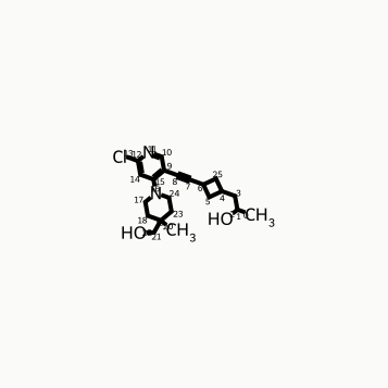 CC(O)CC1CC(C#Cc2cnc(Cl)cc2N2CCC(C)(CO)CC2)C1